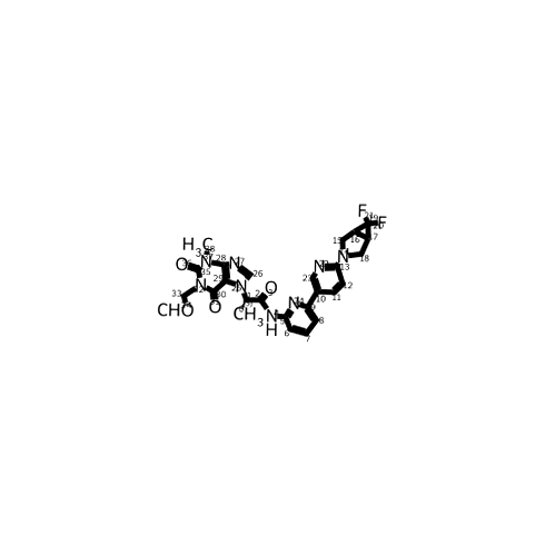 C[C@@H](C(=O)Nc1cccc(-c2ccc(N3CC4C(C3)C4(F)F)nc2)n1)n1cnc2c1c(=O)n(CC=O)c(=O)n2C